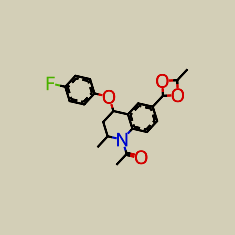 CC(=O)N1c2ccc(C3OC(C)O3)cc2C(Oc2ccc(F)cc2)CC1C